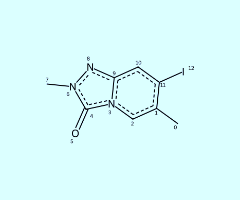 Cc1cn2c(=O)n(C)nc2cc1I